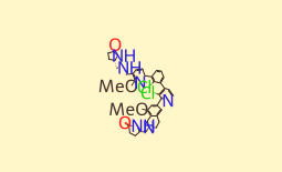 COc1cc(-c2nccc(-c3cccc(-c4ccc(CNC[C@@H]5CCC(=O)N5)c(OC)n4)c3Cl)c2Cl)cc2c1CN(C[C@H]1CCC(=O)N1)CC2